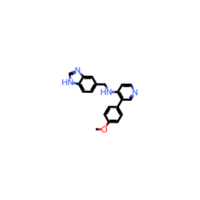 COc1ccc(-c2cnccc2NCc2ccc3[nH]cnc3c2)cc1